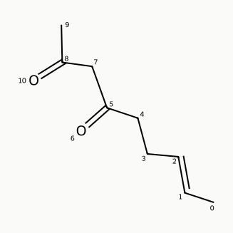 CC=CCCC(=O)CC(C)=O